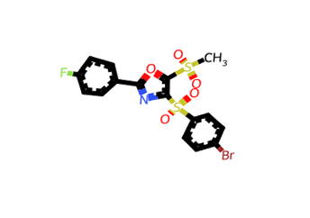 CS(=O)(=O)c1oc(-c2ccc(F)cc2)nc1S(=O)(=O)c1ccc(Br)cc1